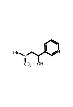 CC(C)(C)N(CC(O)c1cccnc1)C(=O)O